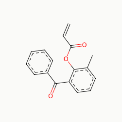 C=CC(=O)Oc1c(C)cccc1C(=O)c1ccccc1